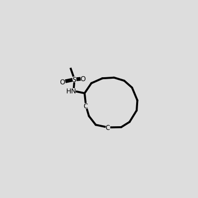 CS(=O)(=O)NC1CCCCCCCCCCCCC1